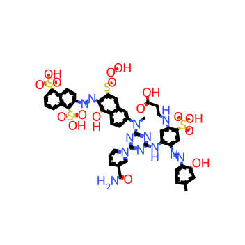 Cc1ccc(N=Nc2cc(S(=O)(=O)O)c(NCCC(=O)O)cc2Nc2nc(N(C)c3ccc4c(O)c(N=Nc5ccc6c(S(=O)(=O)O)cccc6c5S(=O)(=O)O)c(SOOO)cc4c3)nc(-[n+]3cccc(C(N)=O)c3)n2)c(O)c1